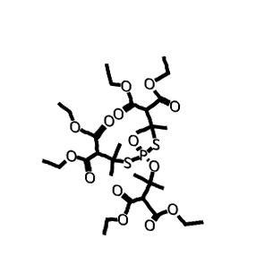 CCOC(=O)C(C(=O)OCC)C(C)(C)OP(=O)(SC(C)(C)C(C(=O)OCC)C(=O)OCC)SC(C)(C)C(C(=O)OCC)C(=O)OCC